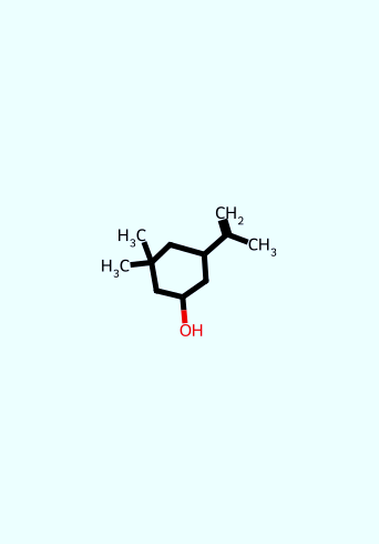 C=C(C)C1CC(O)CC(C)(C)C1